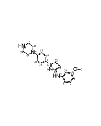 COc1cccc(Nc2nc(-c3ccc(N4CCNCC4)cc3)cs2)c1